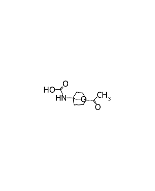 CC(=O)C12CCC(NC(=O)O)(CC1)CO2